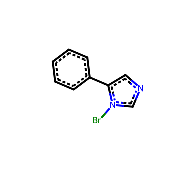 Brn1cncc1-c1ccccc1